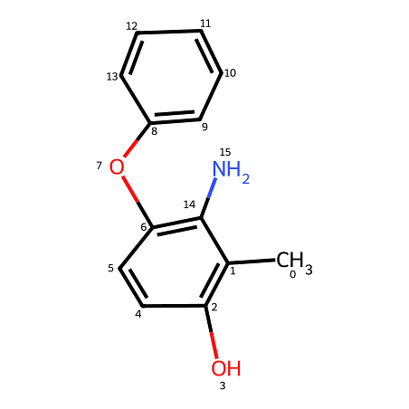 Cc1c(O)ccc(Oc2ccccc2)c1N